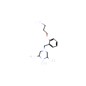 CC1CN(Cc2ccccc2OCCCN)CC(C)N1C